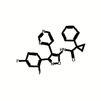 O=C(Nc1onc(-c2ccc(F)cc2F)c1-c1ccncn1)C1(c2ccccc2)CC1